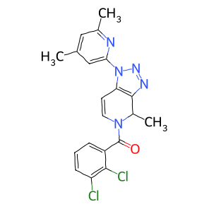 Cc1cc(C)nc(-n2nnc3c2C=CN(C(=O)c2cccc(Cl)c2Cl)C3C)c1